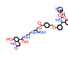 N=C/C(=C\NCCCNC[C@H](O)c1ccc(O)c2[nH]c(=O)ccc12)COC(=O)c1ccc(COc2cccc([C@@H](NC(=O)O[C@H]3CN4CCC3CC4)c3ccccc3)c2)cc1